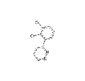 Clc1cccc(-c2cccnn2)c1Cl